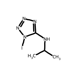 CC(C)Nc1nnnn1I